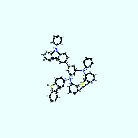 c1ccc(N2c3cc(-c4ccc5c(c4)c4ccccc4n5-c4ccccc4)cc(c3)N(c3ccc4sc5ccccc5c4c3)c3cccc4c3sc3c2cccc34)cc1